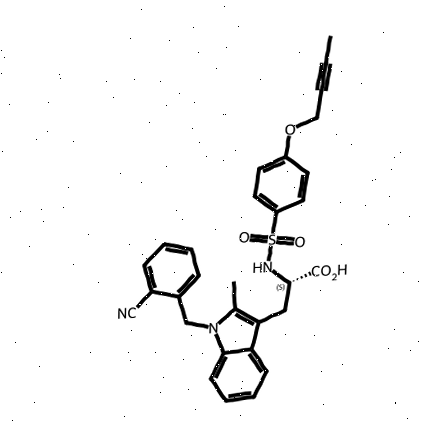 CC#CCOc1ccc(S(=O)(=O)N[C@@H](Cc2c(C)n(Cc3ccccc3C#N)c3ccccc23)C(=O)O)cc1